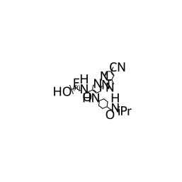 CC(C)NC(=O)C1CCC(Nc2cc(-n3ncc4cc(C#N)cnc43)ncc2C(=O)NC[C@@H](F)C(C)(C)O)CC1